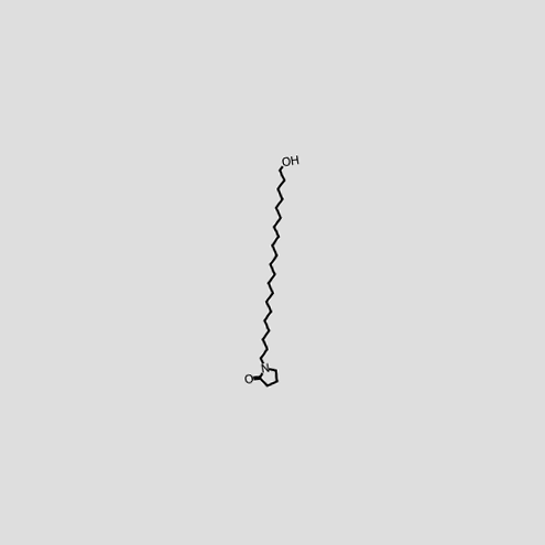 O=C1CCCN1CCCCCCCCCCCCCCCCCCCCCO